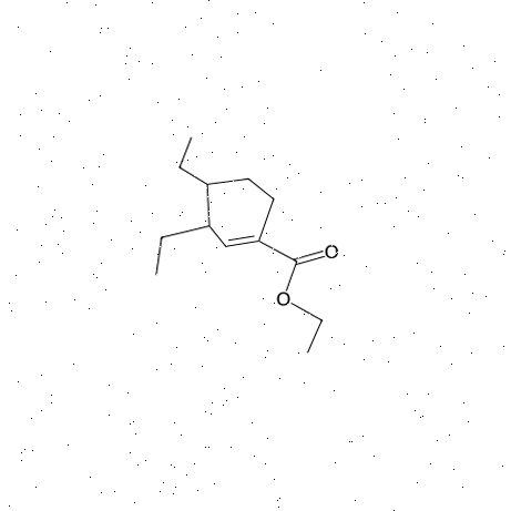 CCOC(=O)C1=CC(CC)C(CC)CC1